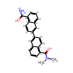 CN(C)C(=O)c1cccc2cc(-c3ccc4c(C(N)=O)cccc4c3)ccc12